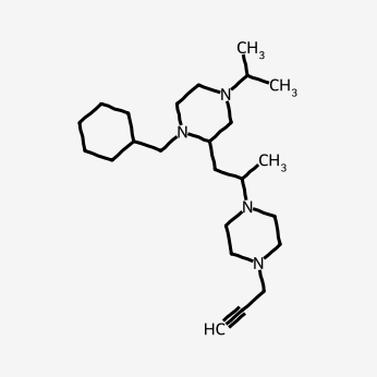 C#CCN1CCN(C(C)CC2CN(C(C)C)CCN2CC2CCCCC2)CC1